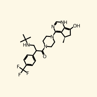 C[C@@H]1CC(O)=C2NC=NC(N3CCN(C(=O)C(CNC(C)(C)C)c4ccc(C(F)(F)F)cc4)CC3)=C21